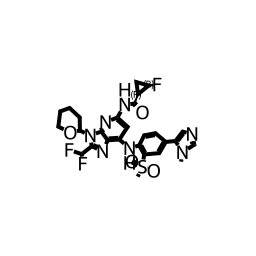 Cn1cncc1-c1ccc(Nc2cc(NC(=O)[C@H]3C[C@H]3F)nc3c2nc(C(F)F)n3C2CCCCO2)c(S(C)(=O)=O)c1